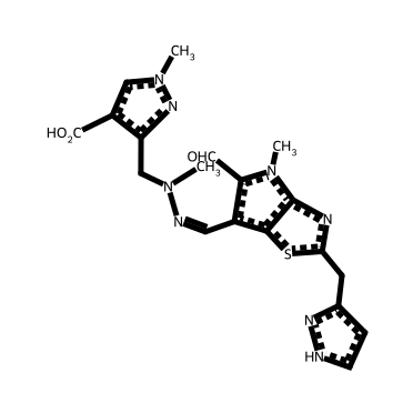 CN(Cc1nn(C)cc1C(=O)O)/N=C\c1c(C=O)n(C)c2nc(Cc3cc[nH]n3)sc12